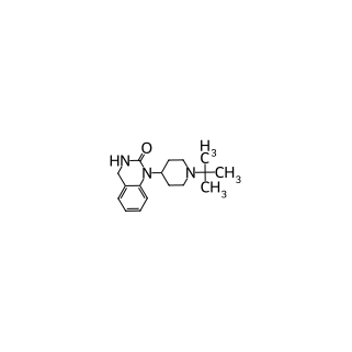 CC(C)(C)N1CCC(N2C(=O)NCc3ccccc32)CC1